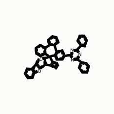 c1ccc(-c2nc(-c3ccccc3)nc(-c3ccc4c(c3)-c3ccccc3-c3ccccc3C43c4ccccc4-c4c3ccc3c4oc4ccccc43)n2)cc1